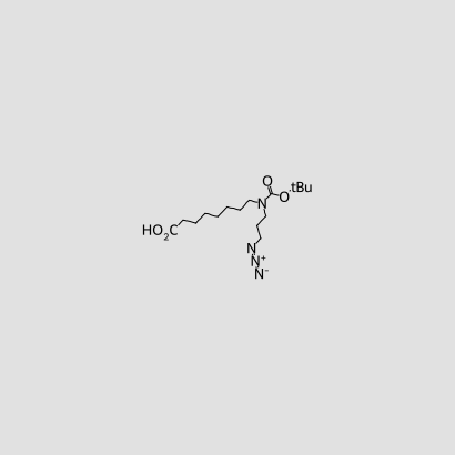 CC(C)(C)OC(=O)N(CCCCCCCC(=O)O)CCCN=[N+]=[N-]